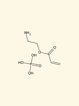 C=CC(=O)OCCN.O=P(O)(O)O